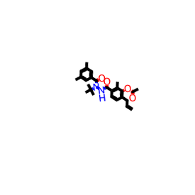 C=CCc1ccc(C(=O)NN(C(=O)c2cc(C)cc(C)c2)C(C)(C)C)c(C)c1OC(C)=O